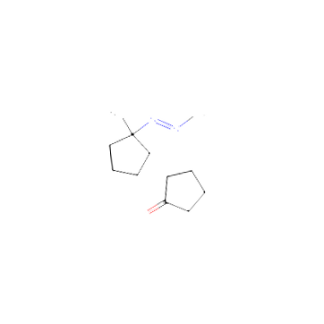 CC(C)(C)N=NC1(C#N)CCCC1.O=C1CCCC1